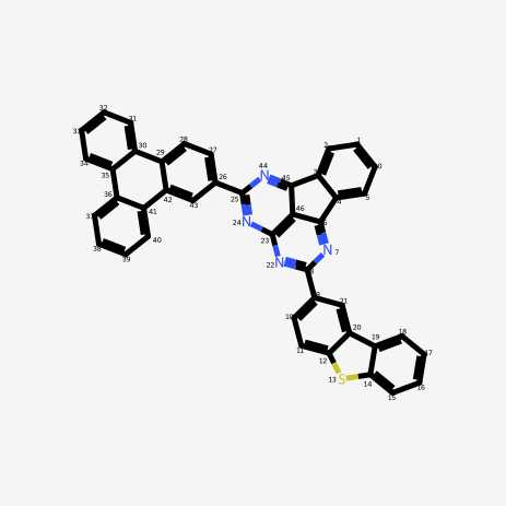 c1ccc2c(c1)-c1nc(-c3ccc4sc5ccccc5c4c3)nc3nc(-c4ccc5c6ccccc6c6ccccc6c5c4)nc-2c13